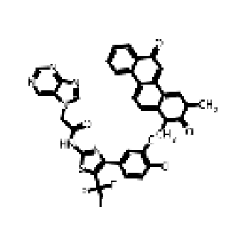 CC1C=c2c(ccc3c2=CC(=O)c2ccccc2-3)C(C)C1=O.O=C(Cn1cnc2ncncc21)Nc1nc(-c2ccc(Cl)c(Cl)c2)c(C(F)(F)F)s1